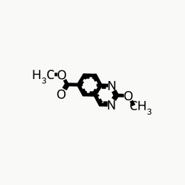 COC(=O)c1ccc2nc(OC)ncc2c1